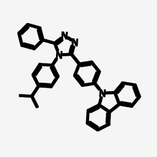 CC(C)c1ccc(-n2c(-c3ccccc3)nnc2-c2ccc(-n3c4ccccc4c4ccccc43)cc2)cc1